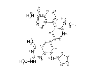 CNc1nc(C)c2cc(-c3cnc(OC)c(-c4c(F)ccc(S(N)(=O)=O)c4F)c3)cc(OC3CCOC3)c2n1